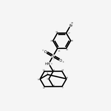 O=S(=O)(NC12CC3CC(CC(C3)C1)C2)c1ccc(Br)cc1